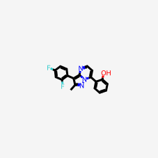 Cc1nn2c(-c3ccccc3O)ccnc2c1-c1ccc(F)cc1F